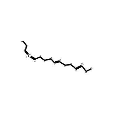 CCC=C=CCCCC=CCCC=CCC